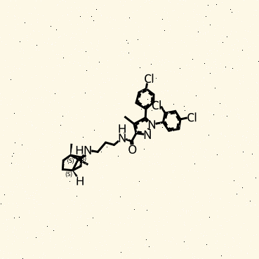 Cc1c(C(=O)NCCCN[C@H]2C[C@@H]3CC[C@@]2(C)C3(C)C)nn(-c2ccc(Cl)cc2Cl)c1-c1ccc(Cl)cc1